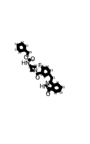 O=C(NC1CN(C(=O)c2cc(Cc3n[nH]c(=O)c4ccccc34)ccc2F)C1)OCc1ccccc1